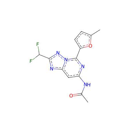 CC(=O)Nc1cc2nc(C(F)F)nn2c(-c2ccc(C)o2)n1